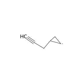 C#CCC1[CH]C1